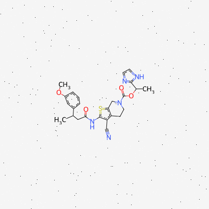 COc1cccc(C(C)CC(=O)Nc2sc3c(c2C#N)CCN(C(=O)OC(C)c2ncc[nH]2)C3)c1